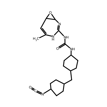 CC1=CC2OC2N=C(NC(=O)NC2CCC(CC3CCC(N=C=O)CC3)CC2)N1